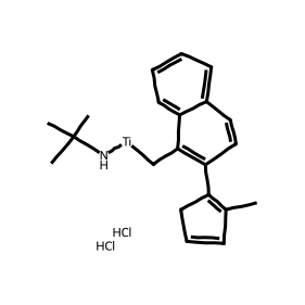 CC1=C(c2ccc3ccccc3c2[CH2][Ti][NH]C(C)(C)C)CC=C1.Cl.Cl